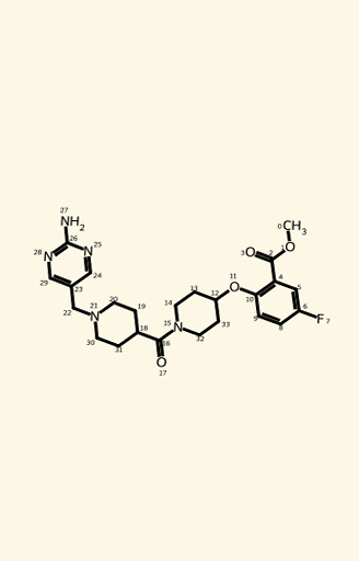 COC(=O)c1cc(F)ccc1OC1CCN(C(=O)C2CCN(Cc3cnc(N)nc3)CC2)CC1